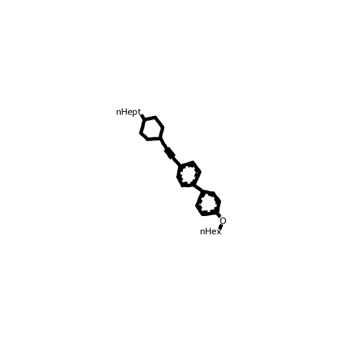 CCCCCCCC1CCC(C#Cc2ccc(-c3ccc(OCCCCCC)cc3)cc2)CC1